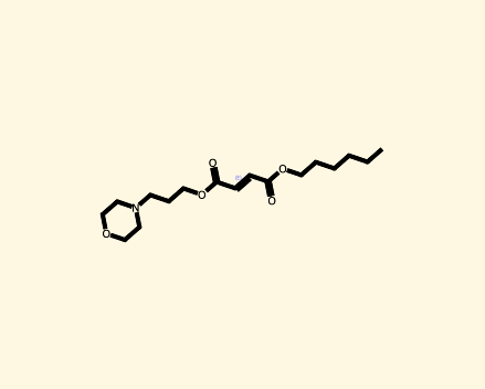 CCCCCCOC(=O)/C=C/C(=O)OCCCN1CCOCC1